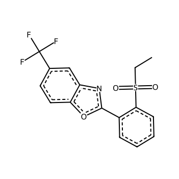 CCS(=O)(=O)c1ccccc1-c1nc2cc(C(F)(F)F)ccc2o1